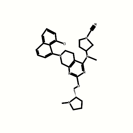 CN(c1nc(OC[C@@H]2CCCN2C)nc2c1CCN(c1cccc3cccc(Cl)c13)C2)C1CCN(C#N)C1